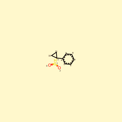 O=[SH](=O)C1(c2ccccc2)CC1